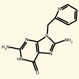 Nc1nc2c(nc(N)n2Cc2ccccn2)c(=O)[nH]1